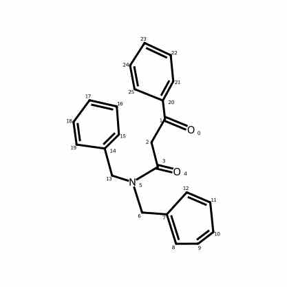 O=C(CC(=O)N(Cc1ccccc1)Cc1ccccc1)c1ccccc1